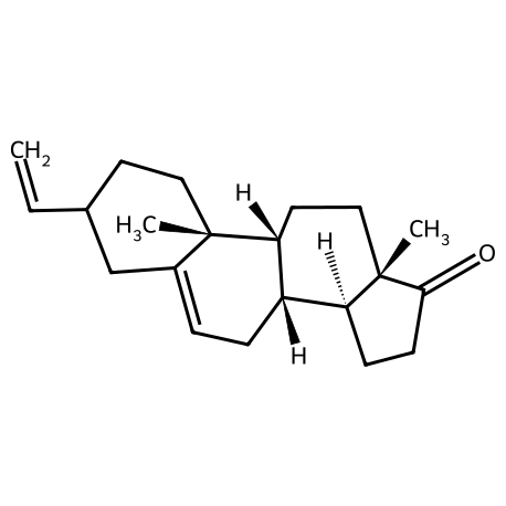 C=CC1CC[C@@]2(C)C(=CC[C@@H]3[C@H]2CC[C@]2(C)C(=O)CC[C@@H]32)C1